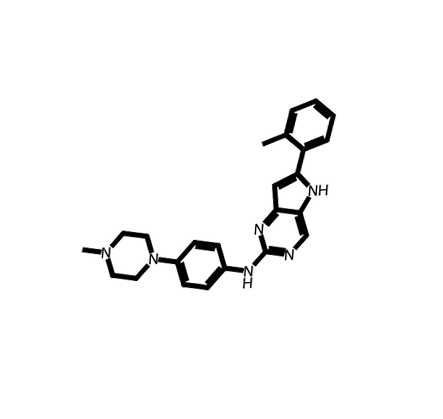 Cc1ccccc1-c1cc2nc(Nc3ccc(N4CCN(C)CC4)cc3)ncc2[nH]1